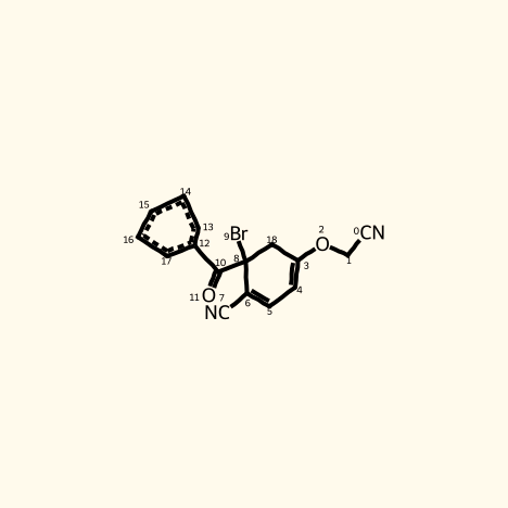 N#CCOC1=CC=C(C#N)C(Br)(C(=O)c2ccccc2)C1